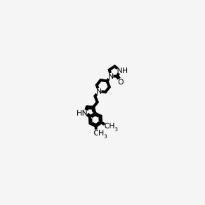 Cc1cc2[nH]cc(CCN3CCC(N4CCNC4=O)CC3)c2cc1C